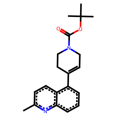 Cc1ccc2c(C3=CCN(C(=O)OC(C)(C)C)CC3)cccc2n1